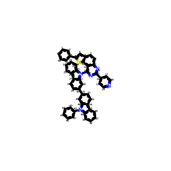 c1ccc(-c2cc3ccc4nc(-c5ccncc5)nc(-n5c6ccccc6c6ccc(-c7ccc8c9ccccc9n(-c9ccccc9)c8c7)cc65)c4c3s2)cc1